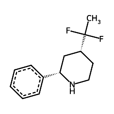 CC(F)(F)[C@@H]1CCN[C@H](c2ccccc2)C1